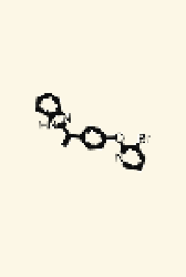 C=C(c1ccc(Oc2ncccc2Br)cc1)c1nc2ccccc2[nH]1